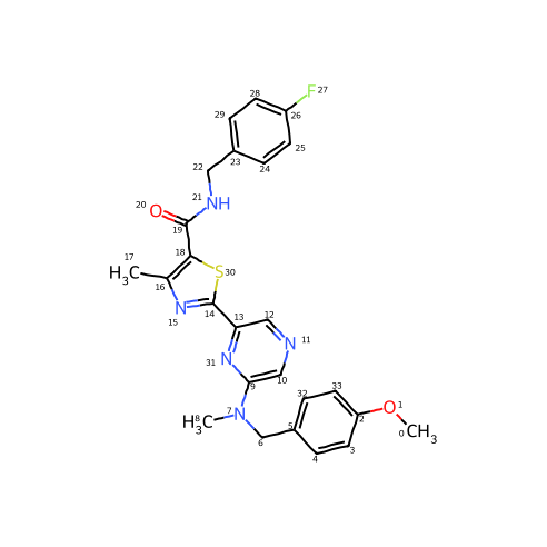 COc1ccc(CN(C)c2cncc(-c3nc(C)c(C(=O)NCc4ccc(F)cc4)s3)n2)cc1